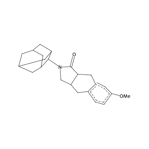 COc1ccc2c(c1)CC1C(=O)N(C3C4CC5CC(C4)CC3C5)CC1C2